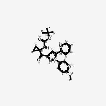 COc1ccc(-n2nc(C(=O)C3(NC(=O)OC(C)(C)C)[CH]C3)cc2-c2ccccn2)cn1